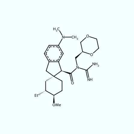 CC[C@@H]1C[C@]2(CC[C@H]1OC)Cc1ccc(N(C)C)cc1[C@H]2C(=O)N(C[C@H]1COCCO1)C(=N)N